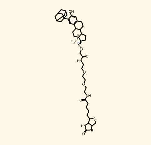 C[C@]12CCC3c4cc(C56CC7CC(CC(C7)C5)C6)c(O)cc4CCC3C1CC/C2=N\OCC(=O)NCCOCCOCCNC(=O)CCCCC1SCC2NC(=O)NC21